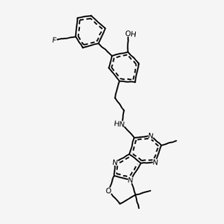 Cc1nc(NCCc2ccc(O)c(-c3cccc(F)c3)c2)c2nc3n(c2n1)C(C)(C)CO3